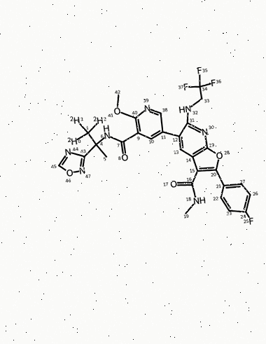 [2H]C([2H])([2H])C(C)(NC(=O)c1cc(-c2cc3c(C(=O)NC)c(-c4ccc(F)cc4)oc3nc2NCC(F)(F)F)cnc1OC)c1ncon1